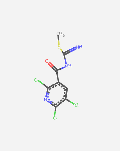 CSC(=N)NC(=O)c1cc(Cl)c(Cl)nc1Cl